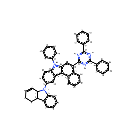 C1=CC2C(CC1)c1ccccc1N2c1ccc2c(c1)c1c3ccccc3c(-c3nc(-c4ccccc4)nc(-c4ccccc4)n3)cc1n2-c1ccccc1